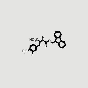 O=C(NC(Cc1ccc(C(F)(F)F)c(F)c1)C(=O)O)OCC1c2ccccc2-c2ccccc21